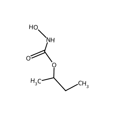 CCC(C)OC(=O)NO